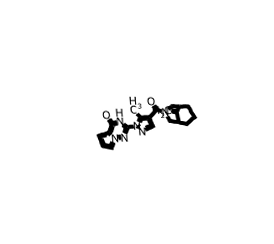 C=C1C2CCCC1CN(C(=O)c1cnn(-c3nn4cccc4c(=O)[nH]3)c1C)C2